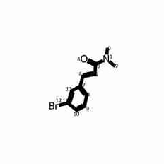 CN(C)C(=O)/C=C/c1cccc(Br)c1